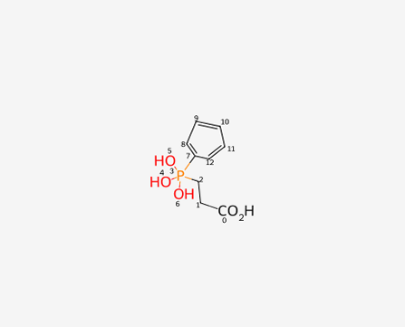 O=C(O)CCP(O)(O)(O)c1ccccc1